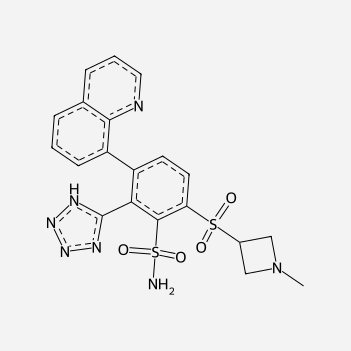 CN1CC(S(=O)(=O)c2ccc(-c3cccc4cccnc34)c(-c3nnn[nH]3)c2S(N)(=O)=O)C1